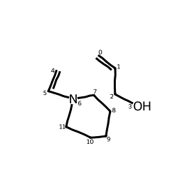 C=CCO.C=CN1CCCCC1